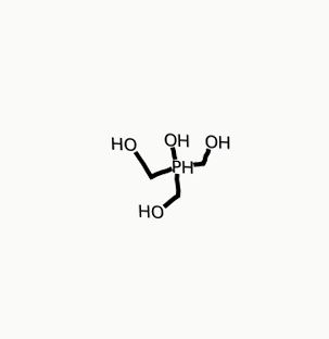 OC[PH](O)(CO)CO